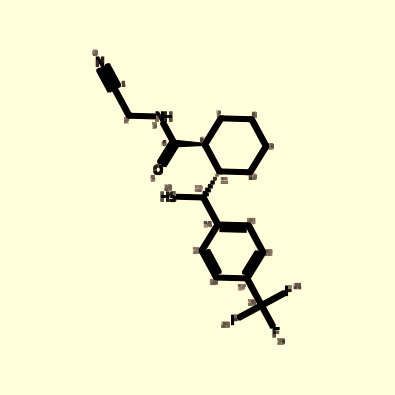 N#CCNC(=O)[C@H]1CCCC[C@@H]1C(S)c1ccc(C(F)(F)F)cc1